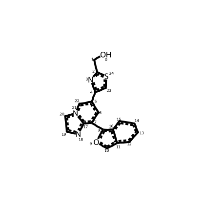 OCc1nc(-c2cc(-c3occ4ccccc34)c3nccn3c2)cs1